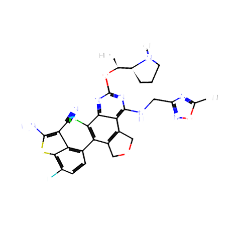 Cc1nc(CNc2nc(O[C@@H](C)[C@@H]3CCCN3C)nc3c(Cl)c(-c4ccc(F)c5sc(N)c(C#N)c45)c4c(c23)COC4)no1